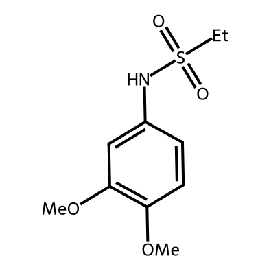 CCS(=O)(=O)Nc1ccc(OC)c(OC)c1